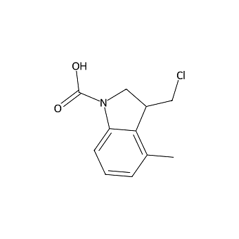 Cc1cccc2c1C(CCl)CN2C(=O)O